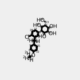 [2H]C([2H])([2H])Oc1ccc(C([2H])([2H])c2cc([C@H]3[C@H](O)[C@@H](O)[C@H](O)[C@@H](CO)[C@@H]3O)ccc2Cl)cc1